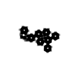 c1ccc(-c2cc(-c3ccccc3)cc([Si](c3ccccc3)(c3ccccc3)c3cccc(-c4ccc5nc6n(c5c4)-c4ccccc4SC6)c3)c2)cc1